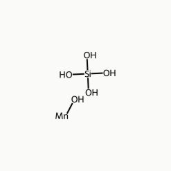 O[Si](O)(O)O.[OH][Mn]